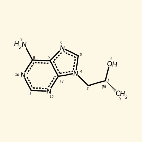 C[C@@H](O)[CH]n1cnc2c(N)ncnc21